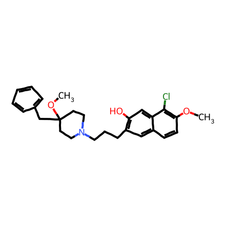 COc1ccc2cc(CCCN3CCC(Cc4ccccc4)(OC)CC3)c(O)cc2c1Cl